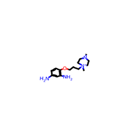 CN1CC[N+](C)(CCCOc2ccc(N)cc2N)CC1